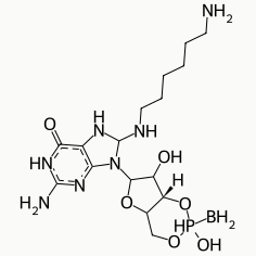 B[PH]1(O)OCC2OC(N3c4nc(N)[nH]c(=O)c4NC3NCCCCCCN)C(O)[C@@H]2O1